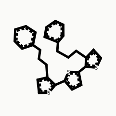 c1ccc(CCCc2ccsc2-c2ccc(-c3sccc3CCCc3ccccc3)s2)cc1